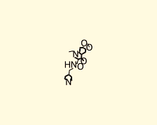 CCn1cc(C(=O)NCCc2ccncc2)c(=O)c2cc3c(cc21)OCO3